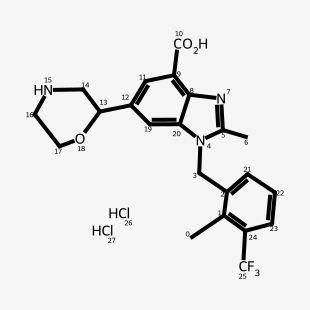 Cc1c(Cn2c(C)nc3c(C(=O)O)cc(C4CNCCO4)cc32)cccc1C(F)(F)F.Cl.Cl